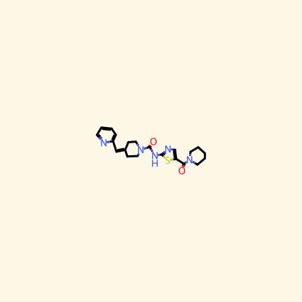 O=C(Nc1ncc(C(=O)N2CCCCC2)s1)N1CCC(=Cc2ccccn2)CC1